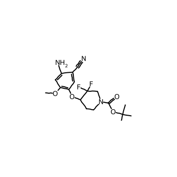 COc1cc(N)c(C#N)cc1OC1CCN(C(=O)OC(C)(C)C)CC1(F)F